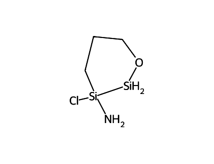 N[Si]1(Cl)CCCO[SiH2]1